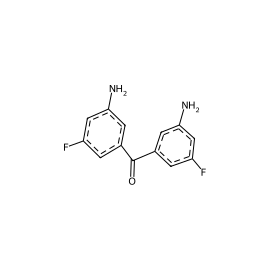 Nc1cc(F)cc(C(=O)c2cc(N)cc(F)c2)c1